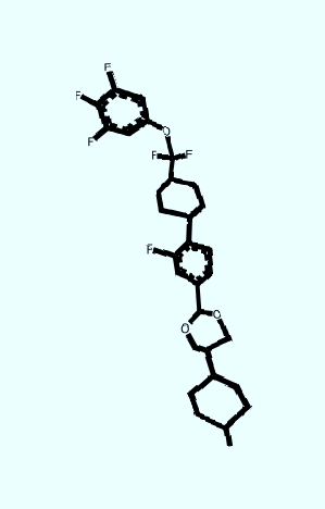 CC1CCC(C2COC(c3ccc(C4CCC(C(F)(F)Oc5cc(F)c(F)c(F)c5)CC4)c(F)c3)OC2)CC1